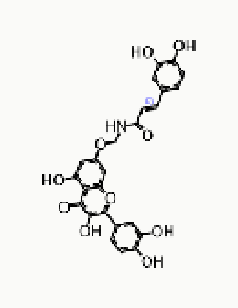 O=C(/C=C/c1ccc(O)c(O)c1)NCOc1cc(O)c2c(=O)c(O)c(-c3ccc(O)c(O)c3)oc2c1